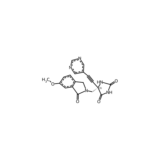 COc1ccc2c(c1)C(=O)N(C[C@]1(C#Cc3cncnc3)NC(=O)NC1=O)C2